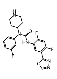 O=C(Nc1cc(-c2nnco2)c(F)cc1F)N(c1cccc(F)c1)C1CCNCC1